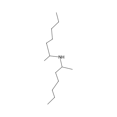 CCCCCC(C)NC(C)CCCCC